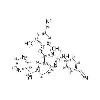 Cc1cc(C#N)cc(C)c1Oc1nc(Nc2ccc(C#N)cc2)nc2c1CN(C(=O)c1cnccn1)CC2